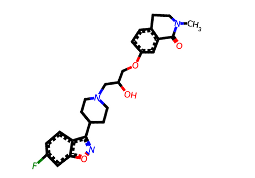 CN1CCc2ccc(OCC(O)CN3CCC(c4noc5cc(F)ccc45)CC3)cc2C1=O